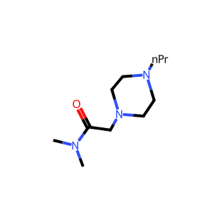 CCCN1CCN(CC(=O)N(C)C)CC1